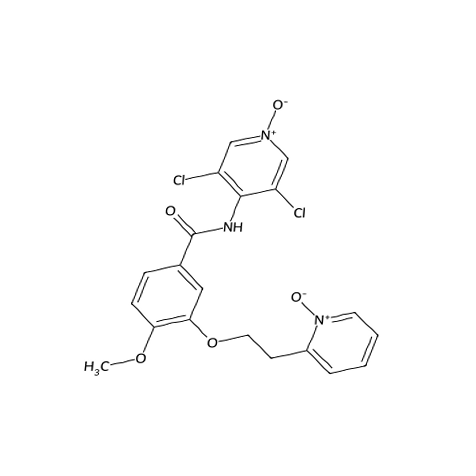 COc1ccc(C(=O)Nc2c(Cl)c[n+]([O-])cc2Cl)cc1OCCc1cccc[n+]1[O-]